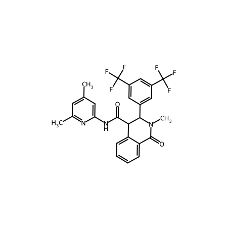 Cc1cc(C)nc(NC(=O)C2c3ccccc3C(=O)N(C)C2c2cc(C(F)(F)F)cc(C(F)(F)F)c2)c1